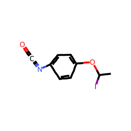 CC(I)Oc1ccc(N=C=O)cc1